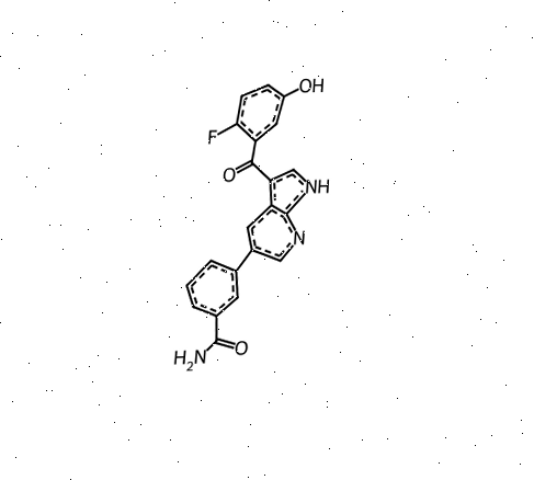 NC(=O)c1cccc(-c2cnc3[nH]cc(C(=O)c4cc(O)ccc4F)c3c2)c1